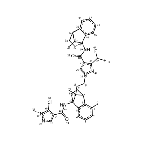 Cc1cccc2c1C1CCC2(NC(=O)c2cnn(C)c2Cl)C1(C)CCn1cc(C(=O)NC23CCC(c4ccccc42)C3C)c(C(F)F)n1